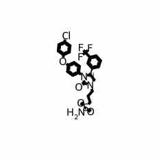 NS(=O)(=O)CCCN1C[C@H](c2cccc(C(F)(F)F)c2)N(c2ccc(Oc3ccc(Cl)cc3)cc2)C1=O